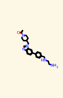 CC(=O)N1CCC(Cn2cnc3ccc(-c4ccc(CNCCN)cc4)cc32)CC1